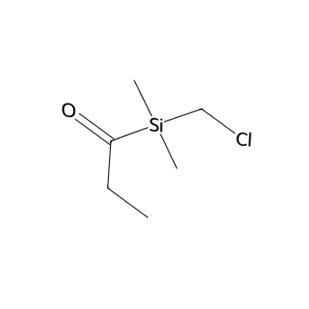 CCC(=O)[Si](C)(C)CCl